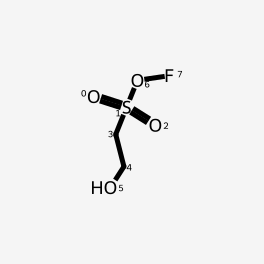 O=S(=O)(CCO)OF